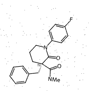 CNC(=O)[C@@]1(Cc2ccccc2)CCCN(c2ccc(F)cc2)C1=O